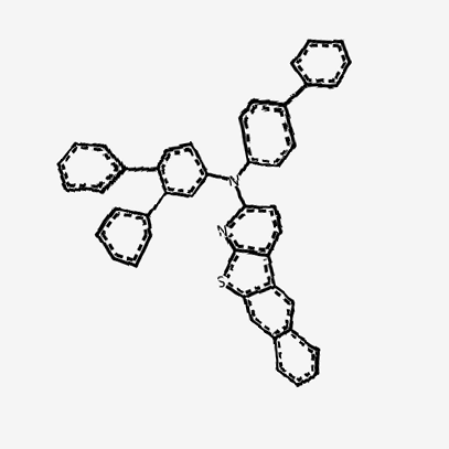 c1ccc(-c2ccc(N(c3ccc(-c4ccccc4)c(-c4ccccc4)c3)c3ccc4c(n3)sc3cc5ccccc5cc34)cc2)cc1